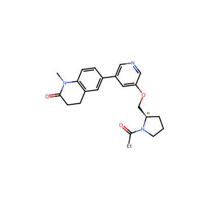 CCC(=O)N1CCC[C@@H]1COc1cncc(-c2ccc3c(c2)CCC(=O)N3C)c1